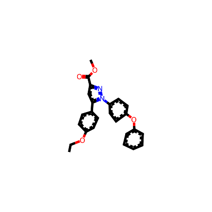 CCOc1ccc(-c2cc(C(=O)OC)nn2-c2ccc(Oc3ccccc3)cc2)cc1